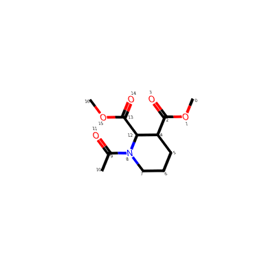 COC(=O)C1CCCN(C(C)=O)C1C(=O)OC